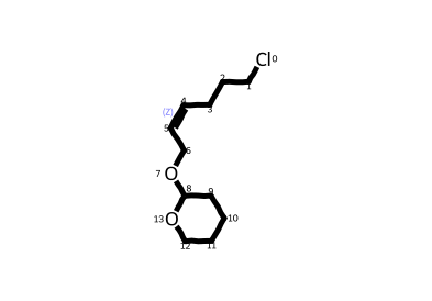 ClCCC/C=C\COC1CCCCO1